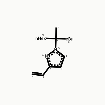 C=Cc1ccn(C(C)(CCCC)CCCCCC)n1